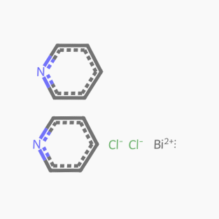 [Bi+2].[Cl-].[Cl-].c1ccncc1.c1ccncc1